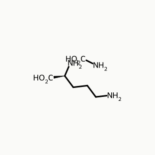 NC(=O)O.NCCC[C@H](N)C(=O)O